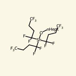 CCCCCCC[O][Sn]([C](F)(F)CCC(F)(F)F)([C](F)(F)CCC(F)(F)F)[C](F)(F)CCC(F)(F)F